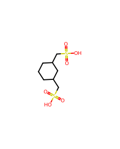 O=S(=O)(O)CC1CCCC(CS(=O)(=O)O)C1